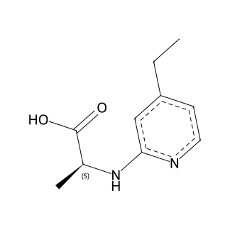 CCc1ccnc(N[C@@H](C)C(=O)O)c1